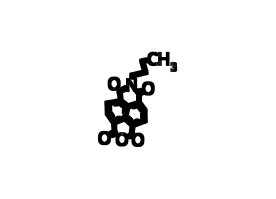 CCCCN1C(=O)c2ccc3c4c(ccc(c24)C1=O)C(=O)OC3=O